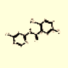 O=C(Nc1cc(Cl)ncn1)c1cc(Cl)ccc1O